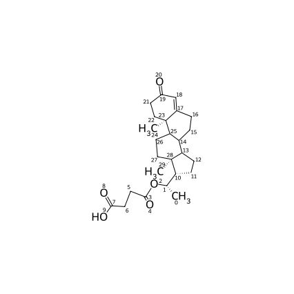 C[C@H](OC(=O)CCC(=O)O)[C@H]1CCC2C3CCC4=CC(=O)CC[C@]4(C)C3CC[C@@]21C